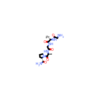 CC(C)[C@H](NC(=O)CN)C(=O)NCC(=O)N[C@@H](C)C(=O)N1CCC[C@H]1C(N)=O